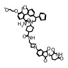 COCCOc1ccc(C(N)=O)c(-c2cc(C(CNC3CCC(C(=O)NCC4CN(c5ccc6c(c5)C(=O)N(C5CCC(=O)NC5=O)C6=O)C4)CC3)c3ccccc3)ccc2Cl)c1F